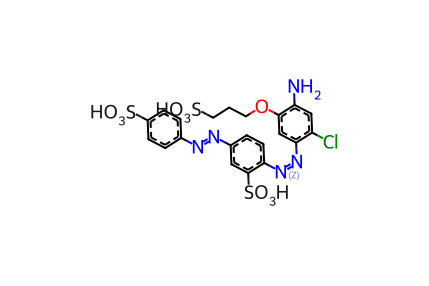 Nc1cc(Cl)c(/N=N\c2ccc(N=Nc3ccc(S(=O)(=O)O)cc3)cc2S(=O)(=O)O)cc1OCCCS(=O)(=O)O